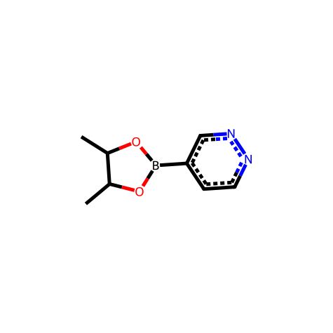 CC1OB(c2ccnnc2)OC1C